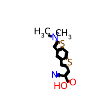 CCN(C)c1cc2cc3cc(/C=C(\C#N)C(=O)O)sc3cc2s1